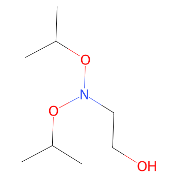 CC(C)ON(CCO)OC(C)C